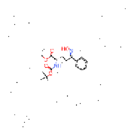 COC(=O)[C@H](CC/C(=N\O)c1ccccc1)NC(=O)OC(C)(C)C